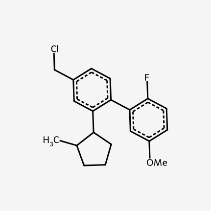 COc1ccc(F)c(-c2ccc(CCl)cc2C2CCCC2C)c1